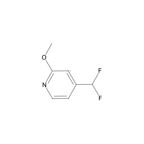 COc1[c]c(C(F)F)ccn1